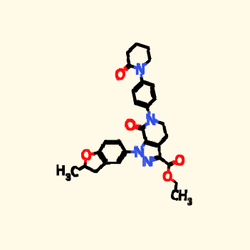 CCOC(=O)c1nn(-c2ccc3c(c2)CC(C)O3)c2c1CCN(c1ccc(N3CCCCC3=O)cc1)C2=O